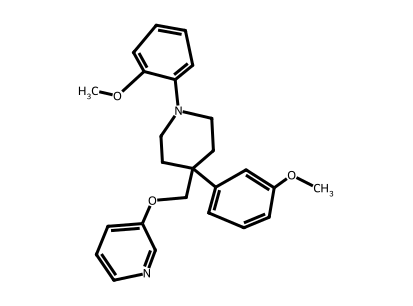 COc1cccc(C2(COc3cccnc3)CCN(c3ccccc3OC)CC2)c1